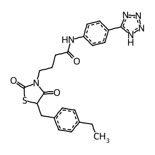 CCc1ccc(CC2SC(=O)N(CCCC(=O)Nc3ccc(-c4nnn[nH]4)cc3)C2=O)cc1